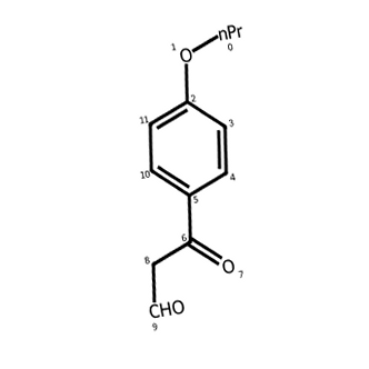 CCCOc1ccc(C(=O)CC=O)cc1